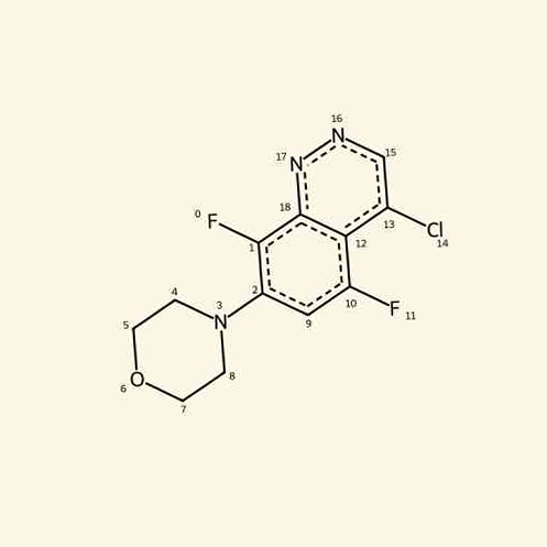 Fc1c(N2CCOCC2)cc(F)c2c(Cl)cnnc12